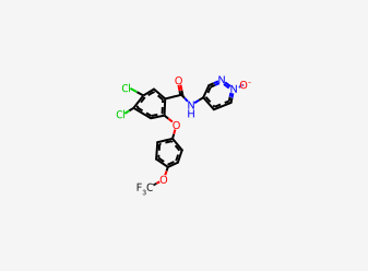 O=C(Nc1cc[n+]([O-])nc1)c1cc(Cl)c(Cl)cc1Oc1ccc(OC(F)(F)F)cc1